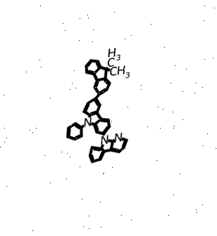 CC1(C)c2ccccc2-c2cc(-c3ccc4c(c3)c3ccc(-n5c6ccccc6c6cccnc65)cc3n4-c3ccccc3)ccc21